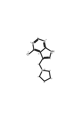 Clc1ncnc2[nH]cc(CN3CCCC3)c12